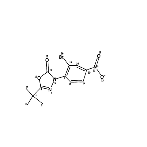 CC(C)(C)c1nn(-c2ccc([N+](=O)[O-])cc2Br)c(=O)o1